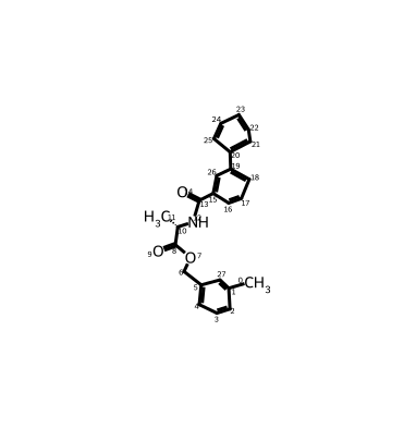 Cc1cccc(COC(=O)[C@H](C)NC(=O)c2cccc(-c3ccccc3)c2)c1